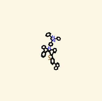 c1ccc(-c2cc(-c3ccc(-n4c5c6ccccc6c6ccccc6c5c5c6sc7ccc(-c8cccc9ccccc89)cc7c6c6ccccc6c54)cc3)nc(-c3ccccc3)n2)cc1